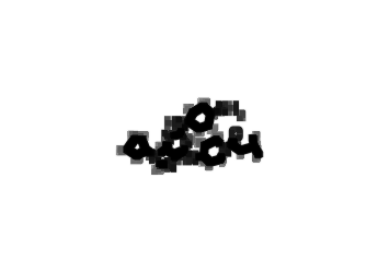 CC(C)CC(=O)N1CCC(Nc2nc(N[C@H]3CC[C@H](N)CC3)nc3c2ncn3C2CCCC2)CC1